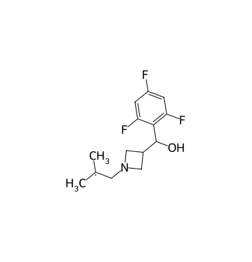 C[C](C)CN1CC(C(O)c2c(F)cc(F)cc2F)C1